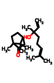 C=CC(C)(O)CCC=C(C)C.CC12CCC(CC1=O)C2(C)C